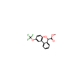 COC(=O)C(O)c1ccccc1-c1cccc(OC(F)(F)F)c1